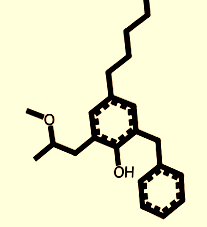 CCCCCc1cc(Cc2ccccc2)c(O)c(CC(C)OC)c1